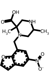 CC1CN(Cc2cc([N+](=O)[O-])cc3ccoc23)C(C)(C(=O)O)CN1